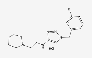 Cl.Fc1cccc(Cn2cc(NCCN3CCCCC3)nn2)c1